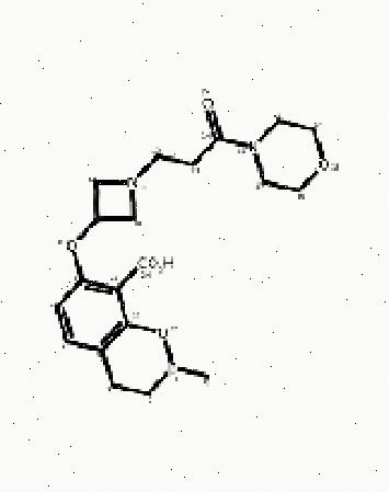 CB1CCc2ccc(OC3CN(CCC(=O)N4CCOCC4)C3)c(C(=O)O)c2O1